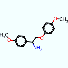 COc1ccc(OCC(N)c2ccc(OC)cc2)cc1